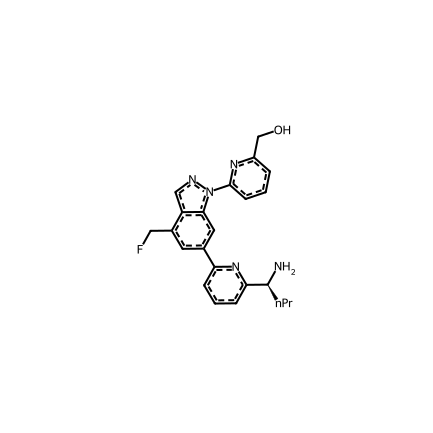 CCC[C@H](N)c1cccc(-c2cc(CF)c3cnn(-c4cccc(CO)n4)c3c2)n1